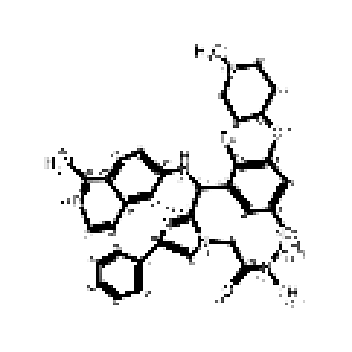 CCc1cc(OC2CCN(C)CC2)c(F)c(C(Nc2ccc3c(N)nccc3c2)c2nc(-c3ccccc3)cn2CC(=O)N(C)C)c1